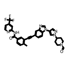 Cc1ccc(C(=O)Nc2cc(C(F)(F)F)ccn2)cc1C#Cc1ccc2c(c1)ncn2-c1cnn(C2CCN(C=O)CC2)c1